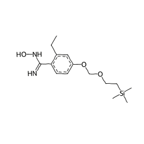 CCc1cc(OCOCC[Si](C)(C)C)ccc1C(=N)NO